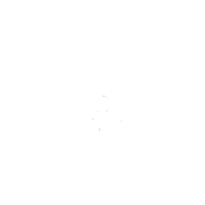 CCOc1nc(C(C[S+](C)[O-])N2C(=O)c3c(F)ccc(NC=O)c3C2=O)ccc1OC